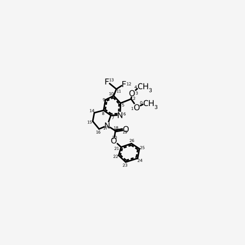 COC(OC)c1nc2c(cc1C(F)F)CCCN2C(=O)Oc1ccccc1